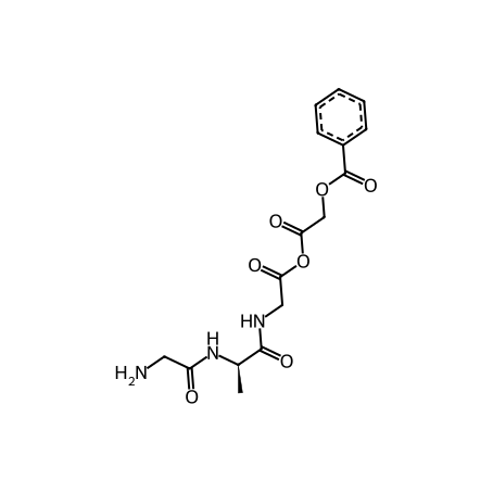 C[C@@H](NC(=O)CN)C(=O)NCC(=O)OC(=O)COC(=O)c1ccccc1